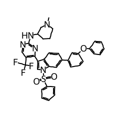 CN1CCCC(Nc2ncc(C(F)(F)F)c(-c3cn(S(=O)(=O)c4ccccc4)c4cc(-c5cccc(Oc6ccccc6)c5)ccc34)n2)C1